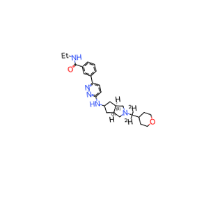 [2H]C([2H])(C1CCOCC1)N1C[C@H]2CC(Nc3ccc(-c4cccc(C(=O)NCC)c4)nn3)C[C@H]2C1